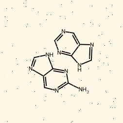 Nc1ncc2nc[nH]c2n1.c1ncc2nc[nH]c2n1